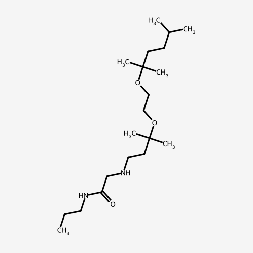 CCCNC(=O)CNCCC(C)(C)OCCOC(C)(C)CCC(C)C